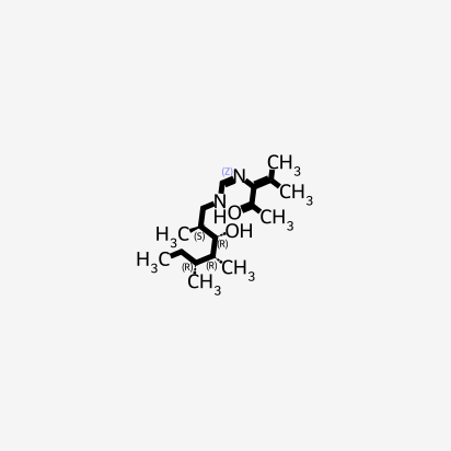 CC[C@@H](C)[C@@H](C)[C@@H](O)[C@@H](C)CN/C=N\C(C(C)=O)=C(C)C